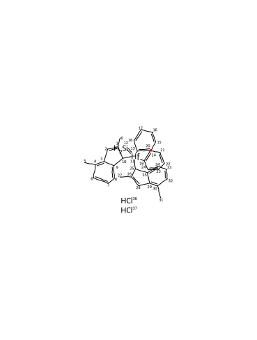 CC1=Cc2c(C)cccc2[CH]1[Hf](=[SiH2])([c]1ccccc1)([c]1ccccc1)[CH]1C(C)=Cc2c(C)cccc21.Cl.Cl